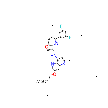 COCCOc1cnc2c(NCc3coc4ccc(-c5cc(F)cc(F)c5)nc34)ccnc2c1